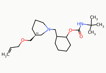 C=CCOC[C@H]1CCCN(CC2CCCCC2OC(=O)NC(C)(C)C)C1